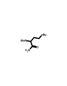 CCCCCCC(NC)C(N)=O